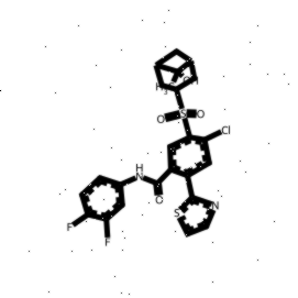 CC1(O)C2CC1CC(S(=O)(=O)c1cc(C(=O)Nc3ccc(F)c(F)c3)c(-c3nccs3)cc1Cl)C2